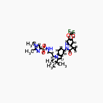 Cc1nc(S(=O)(=O)NCCCn2c(C(C)(C)C)cc3cc(NC(=O)C4(c5ccc6c(c5)OC(F)(F)O6)CC4)ccc32)cn1C